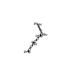 CC(C)NCCCCCOCCN(CC(=O)NCCOCCOCC(=O)NCCOCCOCC(=O)C(C)C)C(C)(C)C